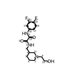 O=C(NCC1CCCN(CCO)C1)C(=O)Nc1ccc(F)c(F)c1